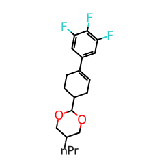 CCCC1COC(C2CC=C(c3cc(F)c(F)c(F)c3)CC2)OC1